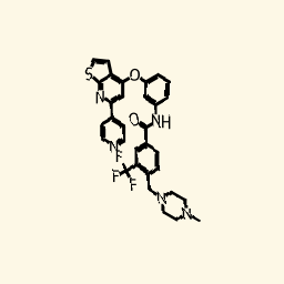 CN1CCN(Cc2ccc(C(=O)Nc3cccc(Oc4cc(-c5ccncc5)nc5sccc45)c3)cc2C(F)(F)F)CC1